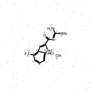 CNC(N)=NC(=O)c1cc2c(C(F)(F)F)cccc2[nH]1.Cl.Cl